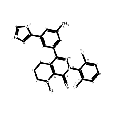 CCN1CCCc2c(-c3cc(C)cc(-c4cnco4)c3)nn(-c3c(Cl)cccc3Cl)c(=O)c21